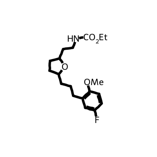 CCOC(=O)NCCC1CCC(CCCc2cc(F)ccc2OC)O1